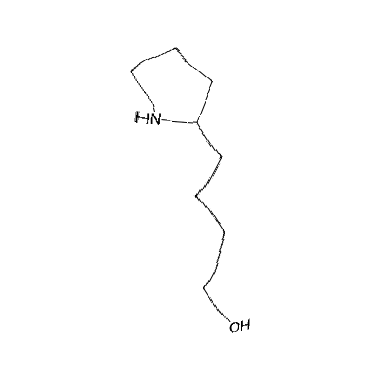 OCCCCC1CCCN1